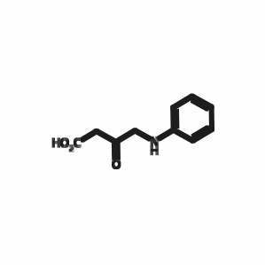 O=C(O)CC(=O)CNc1ccccc1